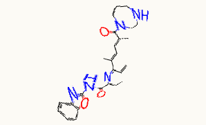 C=CC(=N\C(=C/C)C(=O)Nc1nc2ccccc2o1)/C(C)=C/C=C(\C)C(=O)N1CCCNCC1